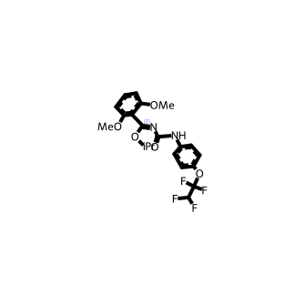 COc1cccc(OC)c1/C(=N/C(=O)Nc1ccc(OC(F)(F)C(F)F)cc1)OC(C)C